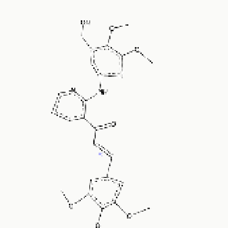 COc1cc(Nc2ncccc2C(=O)/C=C/c2cc(OC)c(OC)c(OC)c2)cc(CO)c1OC